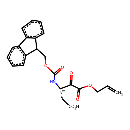 C=CCOC(=O)C(=O)[C@H](CC(=O)O)NC(=O)OCC1c2ccccc2-c2ccccc21